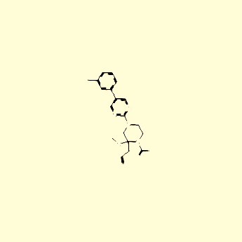 CNC1(CC=O)CN(c2ncc(-c3cccc(Cl)c3)cn2)CCN1C(=O)O